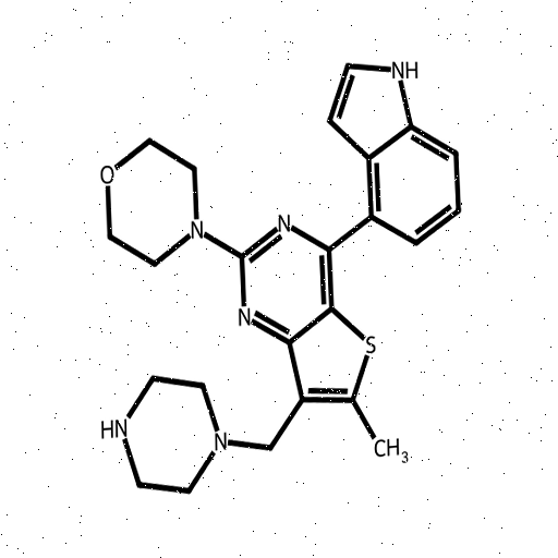 Cc1sc2c(-c3cccc4[nH]ccc34)nc(N3CCOCC3)nc2c1CN1CCNCC1